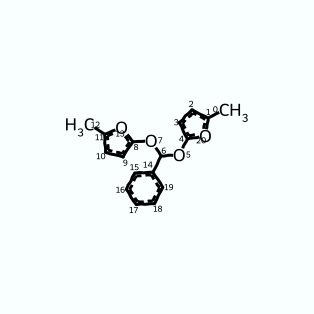 Cc1ccc(OC(Oc2ccc(C)o2)c2ccccc2)o1